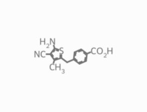 Cc1c(Cc2ccc(C(=O)O)cc2)sc(N)c1C#N